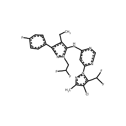 CCc1c(-c2ccc(F)cc2)nn(CC(F)F)c1Nc1cc(-n2nc(C)c(Cl)c2C(F)F)ncn1